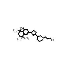 CC1(C)CCC(C)(C)c2cc(C3CSC(C4CCCN(CCCO)C4)=N3)ccc21